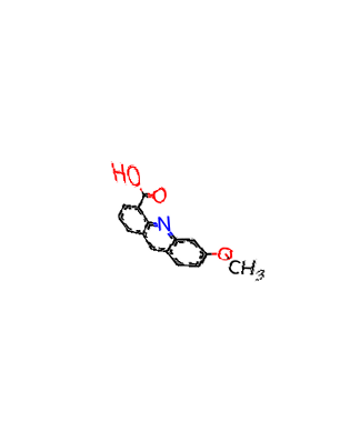 COc1ccc2cc3cccc(C(=O)O)c3nc2c1